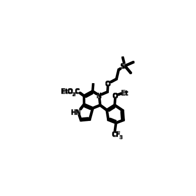 CCOC(=O)C1=C(C)N(COCC[Si](C)(C)C)C(c2cc(C(F)(F)F)ccc2OCC)c2cc[nH]c21